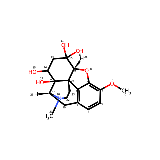 COc1ccc2c3c1O[C@H]1C(O)(O)CC(O)C4(O)[C@@H](C2)N(C)CC[C@]314